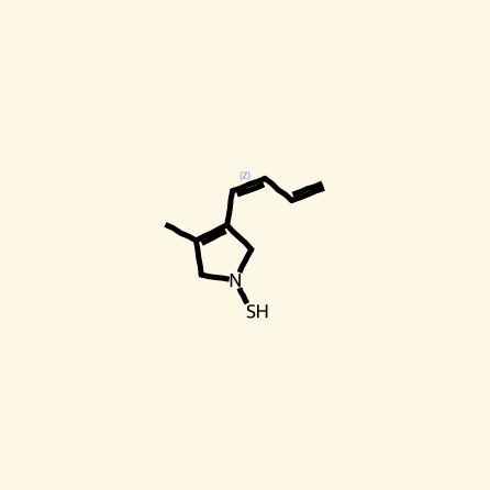 C=C/C=C\C1=C(C)CN(S)C1